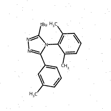 Cc1cccc(-c2nnc(C(C)(C)C)n2-c2c(C)cccc2C)c1